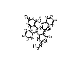 COc1cc(F)cc(-c2ccccc2)c1C1Cc2nc(N)nc(C)c2C(=O)N1Cc1ccccc1